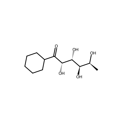 C[C@H](O)[C@@H](O)[C@@H](O)[C@H](O)C(=O)C1CCCCC1